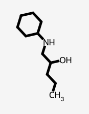 CCCC(O)CNC1CCCCC1